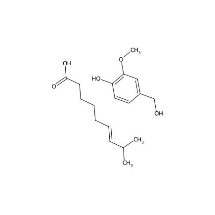 CC(C)/C=C/CCCCC(=O)O.COc1cc(CO)ccc1O